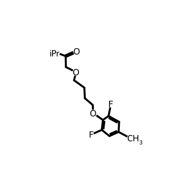 Cc1cc(F)c(OCCCCOCC(=O)C(C)C)c(F)c1